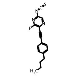 CCCCc1ccc(C#Cc2ncc(N=C=S)nc2F)cc1